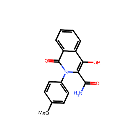 COc1ccc(-n2c(C(N)=O)c(O)c3ccccc3c2=O)cc1